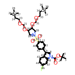 CC(C)(C)OC(=O)n1cc(-c2ccc(S(=O)(=O)N3CC(OCOCC[Si](C)(C)C)C(OCOCC[Si](C)(C)C)C3)cc2)c2ccc(F)cc21